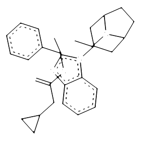 Cc1nc2ccccc2n1C1CC2CCC(C1)N2CC[C@H](NC(=O)CC1CC1)c1ccccc1